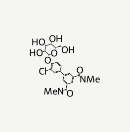 CNC(=O)c1cc(C(=O)NC)cc(-c2ccc(O[C@H]3O[C@H](CO)[C@@H](O)[C@H](O)[C@@H]3O)c(Cl)c2)c1